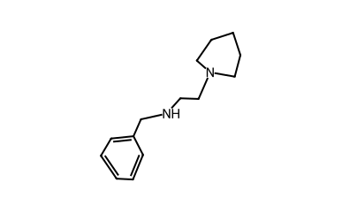 c1ccc(CNCCN2CCCCC2)cc1